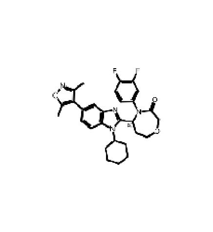 Cc1noc(C)c1-c1ccc2c(c1)nc([C@@H]1CCOCC(=O)N1c1ccc(F)c(F)c1)n2C1CCCCC1